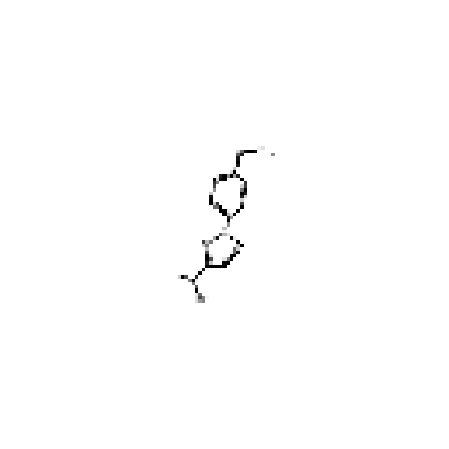 CC(Br)c1ccn(-c2ccc(OC(F)(F)F)cc2)n1